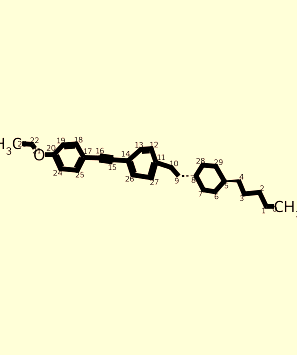 CCCCC[C@H]1CC[C@H](CCc2ccc(C#Cc3ccc(OCC)cc3)cc2)CC1